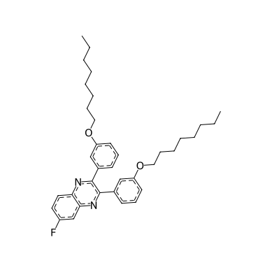 CCCCCCCCOc1cccc(-c2nc3ccc(F)cc3nc2-c2cccc(OCCCCCCCC)c2)c1